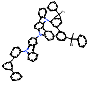 CCC(C)(c1ccccc1)c1cccc(-c2cc(-n3c4ccccc4c4ccc5c(c6ccccc6n5-c5ccc6c(c5)c5ccccc5n6-c5cccc(-c6cccc(-c7ccccc7)c6)c5)c43)c3c(c2)C3(CC)c2ccccc2)c1